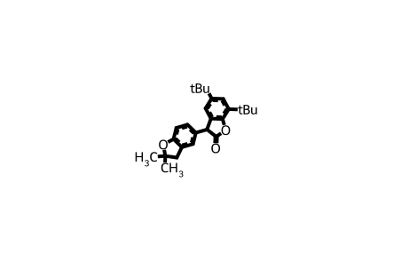 CC1(C)Cc2cc(C3C(=O)Oc4c3cc(C(C)(C)C)cc4C(C)(C)C)ccc2O1